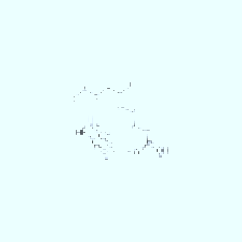 CCCCC(C)CCCCC(=O)O.N=C=O.N=C=O